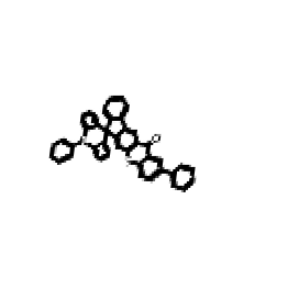 O=c1c2cc(-c3ccccc3)ccc2sc2cc3c(cc12)-c1ccccc1C31c2ccccc2N(c2ccccc2)c2ccccc21